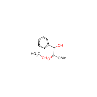 COC(=O)C(O)c1ccccc1.O=C(O)O